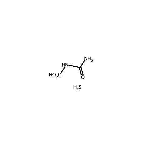 NC(=O)NC(=O)O.S